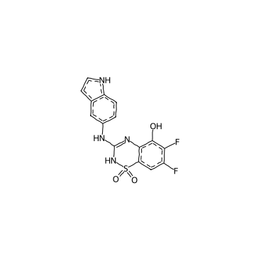 O=S1(=O)NC(Nc2ccc3[nH]ccc3c2)=Nc2c1cc(F)c(F)c2O